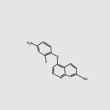 O=[N+]([O-])c1ccc(Oc2ccnc3cc(O)ccc23)c(F)c1